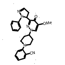 COc1cn(C2CCN(c3ccccc3C#N)CC2)nc(C2CC=NN2c2ccccc2)c1=O